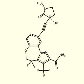 CN1CC[C@@](O)(C#Cc2ccc3c(c2)-n2nc(C(N)=O)c(C(F)(F)F)c2C(F)(F)CO3)C1=O